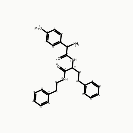 COc1ccc(C(N)C(=O)NC(CCc2ccccc2)C(=O)NCCc2ccccc2)cc1